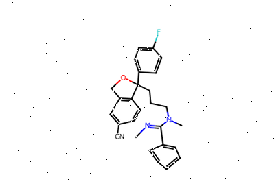 CN=C(c1ccccc1)N(C)CCCC1(c2ccc(F)cc2)OCc2cc(C#N)ccc21